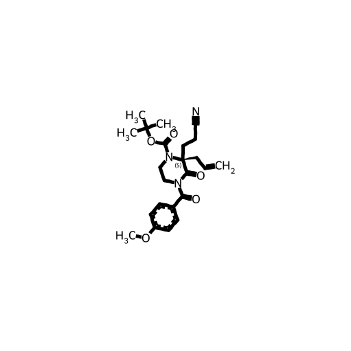 C=CC[C@@]1(CCC#N)C(=O)N(C(=O)c2ccc(OC)cc2)CCN1C(=O)OC(C)(C)C